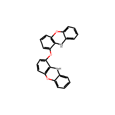 c1ccc2c(c1)Oc1cccc(Oc3cccc4c3[AsH]c3ccccc3O4)c1[AsH]2